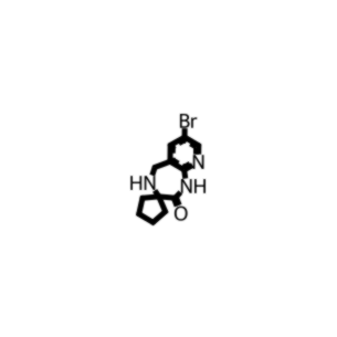 O=C1Nc2ncc(Br)cc2CNC12CCCC2